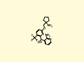 Nc1ncccc1C(O)c1nc(OCC2(N)CCCC2)ccc1C(F)(F)F